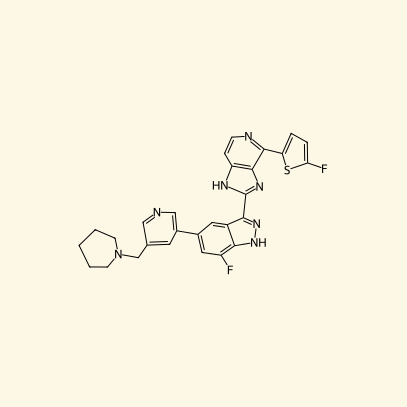 Fc1ccc(-c2nccc3[nH]c(-c4n[nH]c5c(F)cc(-c6cncc(CN7CCCCC7)c6)cc45)nc23)s1